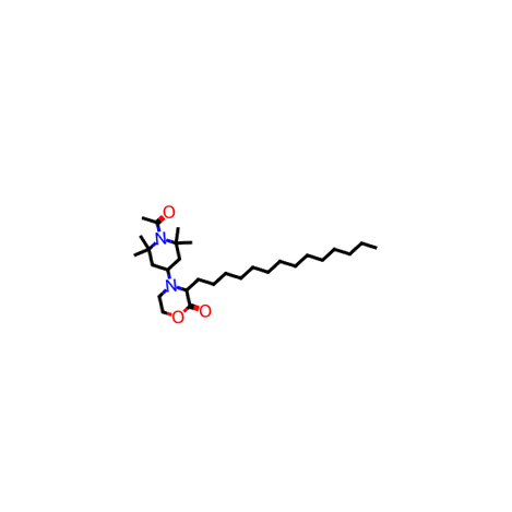 CCCCCCCCCCCCCCC1C(=O)OCCN1C1CC(C)(C)N(C(C)=O)C(C)(C)C1